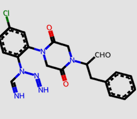 N=CN(N=N)c1ccc(Cl)cc1N1CC(=O)N(C(C=O)Cc2ccccc2)CC1=O